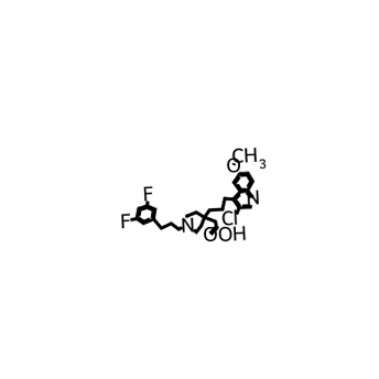 COc1ccc2ncc(Cl)c(CCCC3(CC(=O)O)CCN(CCCc4cc(F)cc(F)c4)CC3)c2c1